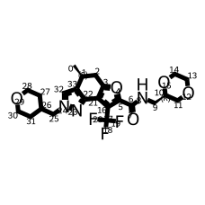 C[C@H]1Cc2oc(C(=O)NC[C@@H]3COCCO3)c(C(F)(F)F)c2-c2nn(CC3CCOCC3)cc21